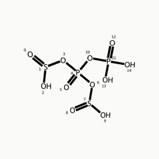 O=S(O)OP(=O)(OS(=O)O)OP(=O)(O)O